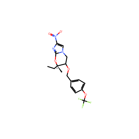 CC[C@]1(C)Oc2nc([N+](=O)[O-])cn2CC1OCc1ccc(OC(F)(F)F)cc1